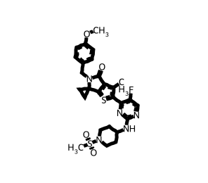 COc1ccc(CN2C(=O)c3c(sc(-c4nc(NC5CCN(S(C)(=O)=O)CC5)ncc4F)c3C)C23CC3)cc1